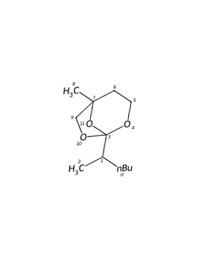 CCCCC(C)C12OCCC(C)(CO1)O2